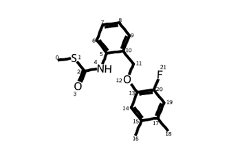 CSC(=O)Nc1ccccc1COc1cc(C)c(C)cc1F